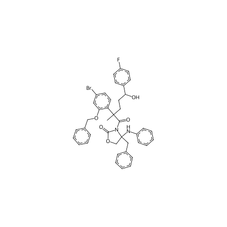 CC(CCC(O)c1ccc(F)cc1)(C(=O)N1C(=O)OCC1(Cc1ccccc1)Nc1ccccc1)c1ccc(Br)cc1OCc1ccccc1